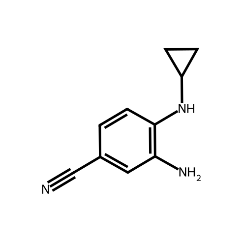 N#Cc1ccc(NC2CC2)c(N)c1